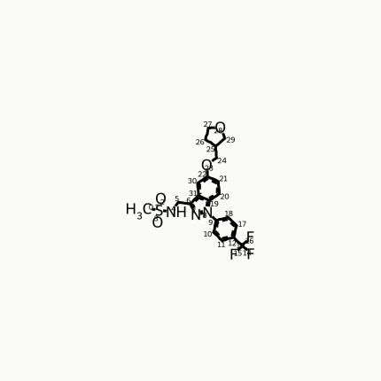 CS(=O)(=O)NCc1nn(-c2ccc(C(F)(F)F)cc2)c2ccc(OCC3CCOC3)cc12